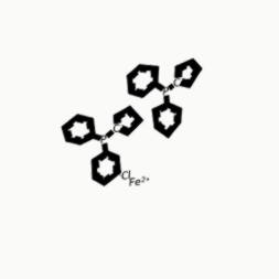 [Cl].[Fe+2].c1ccc(P(c2ccccc2)[c-]2cccc2)cc1.c1ccc(P(c2ccccc2)[c-]2cccc2)cc1